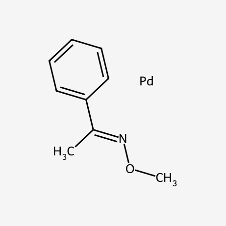 CON=C(C)c1ccccc1.[Pd]